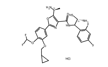 C[C@H](N)c1oc(-c2ccc(OC(F)F)c(OCC3CC3)c2)nc1C(=O)NC(c1ccc(F)cc1F)[C@@H](N)S.Cl